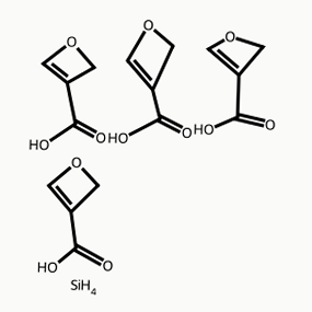 O=C(O)C1=COC1.O=C(O)C1=COC1.O=C(O)C1=COC1.O=C(O)C1=COC1.[SiH4]